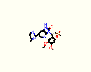 CCOc1cc([C@@H](CS(C)(=O)=O)n2c(=O)[nH]c3cc(-c4nccc(C)n4)cnc32)ccc1OC